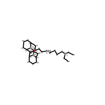 CCB(CC)CCCCNCCC(B1C2CCCC1CCC2)B1C2CCCC1CCC2